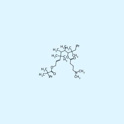 CC(C)CC(C)(C)C(OC(=O)CCCN(C)C)C(C)C(C)C(C)(C)/C=C/COC(=O)C(C)(C)C(C)C